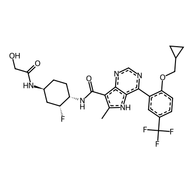 Cc1[nH]c2c(-c3cc(C(F)(F)F)ccc3OCC3CC3)ncnc2c1C(=O)N[C@H]1CC[C@H](NC(=O)CO)C[C@H]1F